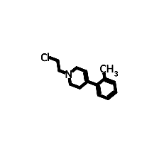 Cc1ccccc1C1=CCN(CCCl)CC1